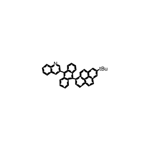 CC(C)(C)c1cc2ccc3ccc(-c4c5ccccc5c(-c5cnc6ccccc6c5)c5ccccc45)c4ccc(c1)c2c34